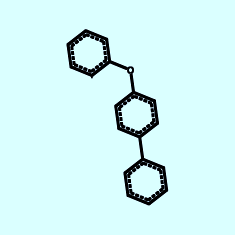 [c]1ccccc1Oc1ccc(-c2ccccc2)cc1